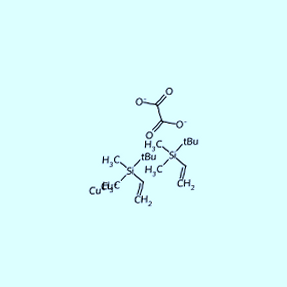 C=C[Si](C)(C)C(C)(C)C.C=C[Si](C)(C)C(C)(C)C.O=C([O-])C(=O)[O-].[Cu+].[Cu+]